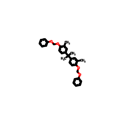 Cc1cc(C(C)(C)c2ccc(OCOc3ccccc3)c(C)c2)ccc1OCOc1ccccc1